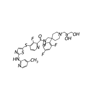 Cc1ccnc(Nc2ncc(Sc3ccnc(C(=O)NCC4(c5ccc(F)cc5F)CCN(C[C@H](O)CO)CC4)c3F)s2)c1